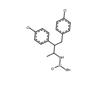 CC(N[S+]([O-])C(C)(C)C)C(Cc1ccc(Cl)cc1)c1ccc(Cl)cc1